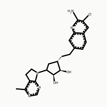 Cc1ncnc2c1CCN2C1C[C@H](CCc2ccc3cc(Cl)c(N)nc3c2)[C@@H](O)[C@H]1O